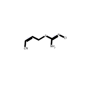 N#C/C=C\CS/C(N)=N/Cl